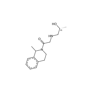 CC1c2ccccc2CCN1C(=O)CNC[C@@H](C)O